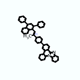 C/C(=C\c1c(-c2ccccc2)cc(-c2ccccc2)c2ccccc12)c1ccc(-c2ccc3c(c2)c2ccccc2n2c4ccccc4nc32)cc1